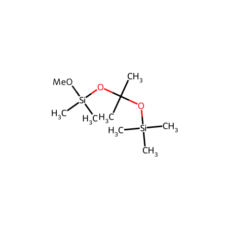 CO[Si](C)(C)OC(C)(C)O[Si](C)(C)C